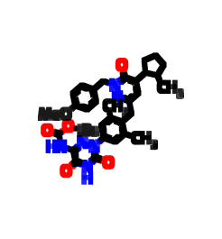 COc1ccc(Cn2nc(Cc3c(C)cc(-n4nc(NC(=O)OC(C)(C)C)c(=O)[nH]c4=O)cc3C)cc(C3CCCC3C)c2=O)cc1